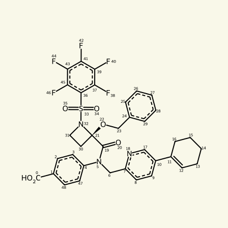 O=C(O)c1ccc(N(Cc2ccc(C3=CCCCC3)cn2)C(=O)[C@]2(OCc3ccccc3)CCN2S(=O)(=O)c2c(F)c(F)c(F)c(F)c2F)cc1